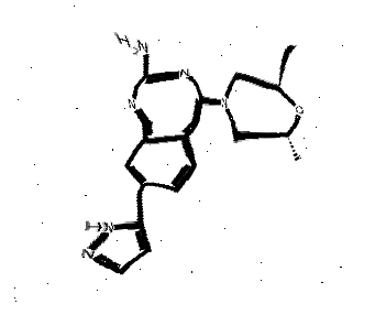 C[C@@H]1CN(c2nc(N)nc3cc(-c4ccn[nH]4)ccc23)C[C@@H](C)O1